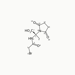 C[C@@](NC(=O)CBr)(C(=O)O)N1C(=O)CCC1=O